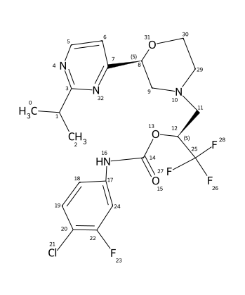 CC(C)c1nccc([C@@H]2CN(C[C@H](OC(=O)Nc3ccc(Cl)c(F)c3)C(F)(F)F)CCO2)n1